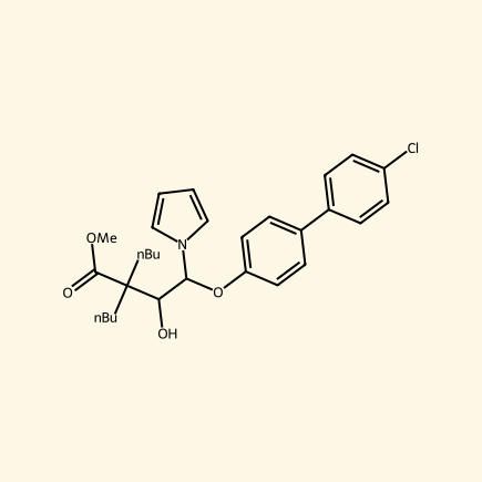 CCCCC(CCCC)(C(=O)OC)C(O)C(Oc1ccc(-c2ccc(Cl)cc2)cc1)n1cccc1